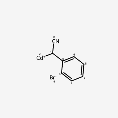 N#C[CH]([Cd+])c1ccccc1.[Br-]